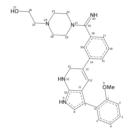 COc1ccccc1-c1c[nH]c2c1C=C(c1cccc(C(=N)N3CCN(CCO)CC3)c1)CN2